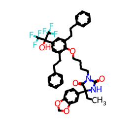 CCC1(c2ccc3c(c2)OCO3)NC(=O)N(CCCCOc2c(CCc3ccccc3)cc(C(O)(C(F)(F)F)C(F)(F)F)cc2CCc2ccccc2)C1=O